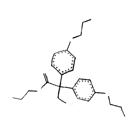 CCC(C(=O)OCCO)(c1ccc(OCCO)cc1)c1ccc(OCCO)cc1